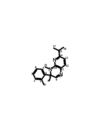 Cc1ccccc1C1(C)C=Nc2ccc(C(C)C)nc2N1C